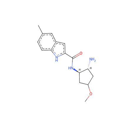 COC1C[C@@H](N)[C@H](NC(=O)c2cc3cc(C)ccc3[nH]2)C1